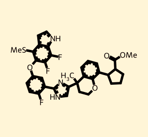 COC(=O)C1CCCC1c1cccc2c1OCCC2(C)c1c[nH]c(-c2cc(Oc3c(F)c(F)c4[nH]ccc4c3SC)ccc2F)n1